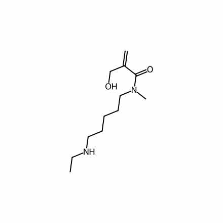 C=C(CO)C(=O)N(C)CCCCCNCC